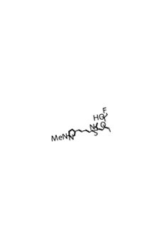 C=c1nc(/C=C/C=C/c2ccc(NC)nc2)s/c1=C/C(=C\C)OCC(O)CF